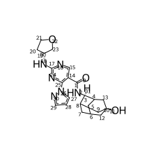 O=C(N[C@H]1C2CC3CC1C[C@@](O)(C3)C2)c1cnc(N[C@@H]2CCOC2)nc1-n1cccn1